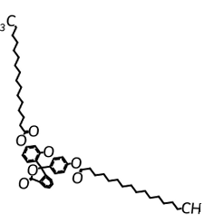 CCCCCCCCCCCCCCCC(=O)Oc1ccc2c(c1)Oc1cc(OC(=O)CCCCCCCCCCCCCCC)ccc1C21OC(=O)c2ccccc21